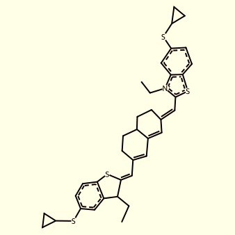 CCC1/C(=C/C2=CC3=C/C(=C/c4sc5ccc(SC6CC6)cc5[n+]4CC)CCC3CC2)Sc2ccc(SC3CC3)cc21